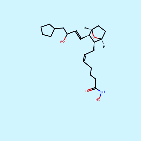 O=C(CCC/C=C\C[C@H]1[C@@H](/C=C/C(O)CC2CCCC2)[C@H]2CC[C@@H]1O2)NO